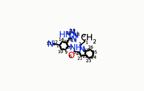 C=CCn1c(C(=O)Nc2ccc(C#N)cc2-c2nnn[nH]2)cc2ccccc21